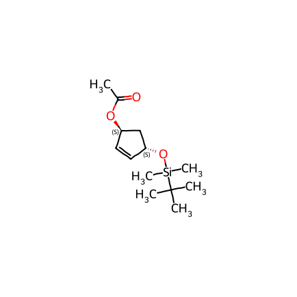 CC(=O)O[C@@H]1C=C[C@@H](O[Si](C)(C)C(C)(C)C)C1